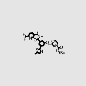 Cc1cnc(-c2cc(OC[C@H]3CN(C(=O)OC(C)(C)C)CCO3)cc(C(=O)N[C@H](C)c3ccc(C(F)F)nc3)c2)s1